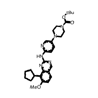 COc1ccc2cnc(Nc3ccc(N4CCN(C(=O)OC(C)(C)C)CC4)cn3)nc2c1C1CCCC1